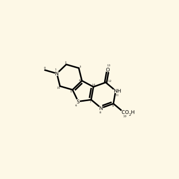 CN1CCc2c(sc3nc(C(=O)O)[nH]c(=O)c23)C1